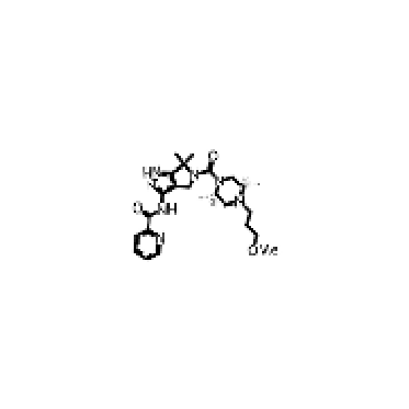 COCCCN1C[C@H](C)N(C(=O)N2Cc3c(NC(=O)c4ccccn4)n[nH]c3C2(C)C)C[C@@H]1C